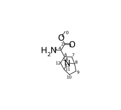 COC(=O)C(N)C1CC2CCC(C1)N2C